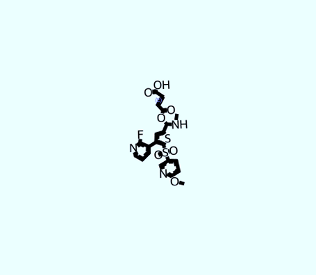 CNC(OC(=O)/C=C/C(=O)O)c1cc(-c2cccnc2F)c(S(=O)(=O)c2ccc(OC)nc2)s1